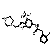 CS(=O)(=O)c1cc(NC(=O)Cc2ccccc2Cl)cc2nn(CN3CCNCC3)cc12